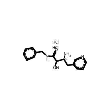 Cl.Cl.N[C@@H](Cc1cccnc1)C(O)C(=O)NCc1ccccc1